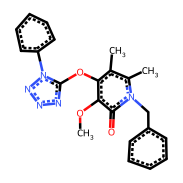 COc1c(Oc2nnnn2-c2ccccc2)c(C)c(C)n(Cc2ccccc2)c1=O